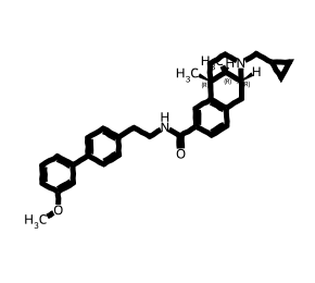 COc1cccc(-c2ccc(CCNC(=O)c3ccc4c(c3)[C@]3(C)CCN(CC5CC5)[C@H](C4)[C@@H]3C)cc2)c1